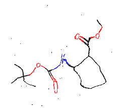 COC(=O)C1CCCCC1NC(=O)OC(C)(C)C